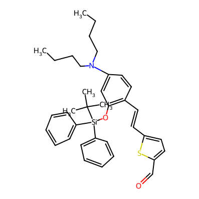 CCCCN(CCCC)c1ccc(C=Cc2ccc(C=O)s2)c(O[Si](c2ccccc2)(c2ccccc2)C(C)(C)C)c1